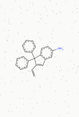 C=CC1=Cc2cc(N)ccc2C1(c1ccccc1)c1ccccc1